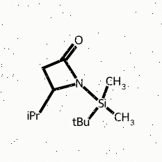 CC(C)C1CC(=O)N1[Si](C)(C)C(C)(C)C